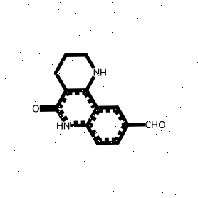 O=Cc1ccc2[nH]c(=O)c3c(c2c1)NCCC3